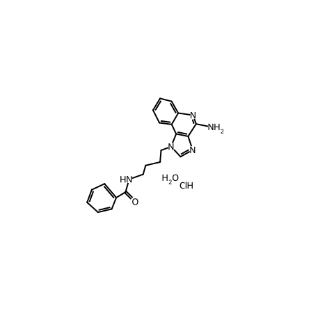 Cl.Nc1nc2ccccc2c2c1ncn2CCCCNC(=O)c1ccccc1.O